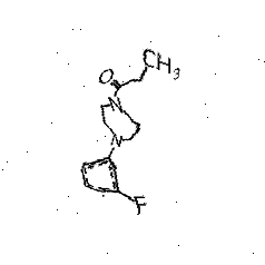 CCC(=O)N1CCN(c2cc[c]c(F)c2)CC1